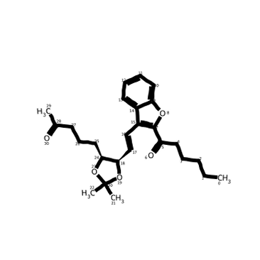 CCCCCC(=O)c1oc2ccccc2c1/C=C/[C@H]1OC(C)(C)O[C@H]1CCCC(C)=O